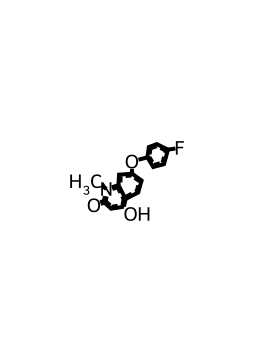 Cn1c(=O)cc(O)c2ccc(Oc3ccc(F)cc3)cc21